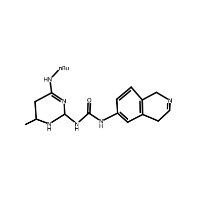 CCCCNC1=NC(NC(=O)Nc2ccc3c(c2)CC=NC3)NC(C)C1